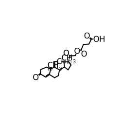 C[C@]12CCC(=O)C=C1CCC1C2=CC[C@@]2(C)C1CC[C@@H]2C(=O)COC(=O)CCC(=O)O